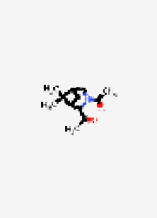 CC(=O)C1C2CC(CN1C(C)=O)C2(C)C